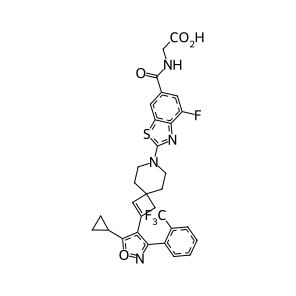 O=C(O)CNC(=O)c1cc(F)c2nc(N3CCC4(C=C(c5c(-c6ccccc6C(F)(F)F)noc5C5CC5)C4)CC3)sc2c1